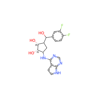 OC(c1ccc(F)c(F)c1)C1CC(Nc2ncnc3[nH]ccc23)[C@H](O)[C@@H]1O